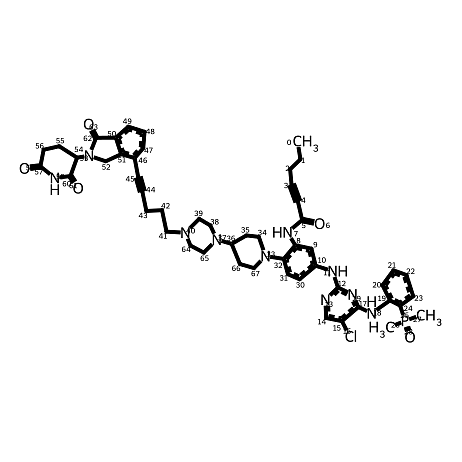 CCCC#CC(=O)Nc1cc(Nc2ncc(Cl)c(Nc3ccccc3P(C)(C)=O)n2)ccc1N1CCC(N2CCN(CCCC#Cc3cccc4c3CN(C3CCC(=O)NC3=O)C4=O)CC2)CC1